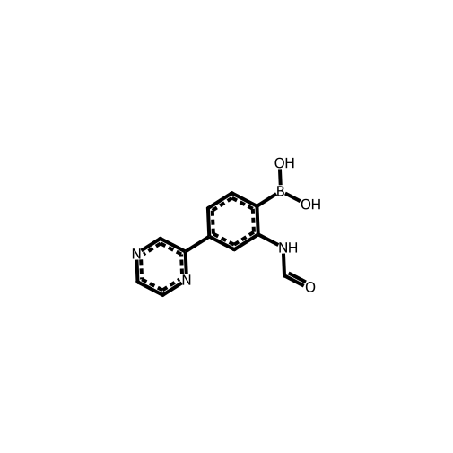 O=CNc1cc(-c2cnccn2)ccc1B(O)O